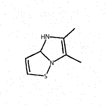 CC1=C(C)N2SC=CC2N1